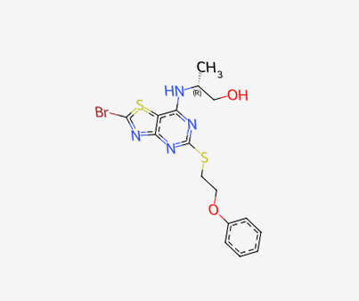 C[C@H](CO)Nc1nc(SCCOc2ccccc2)nc2nc(Br)sc12